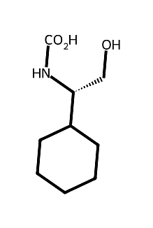 O=C(O)N[C@H](CO)C1CCCCC1